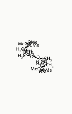 CO[Si](CC[Si](C)(C)O[Si](C)(C)CCOCCOCC[Si](C)(C)O[Si](C)(C)CC[Si](OC)(OC)OC)(OC)OC